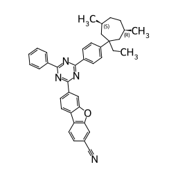 CCC1(c2ccc(-c3nc(-c4ccccc4)nc(-c4ccc5c(c4)oc4cc(C#N)ccc45)n3)cc2)C[C@H](C)CC[C@H](C)C1